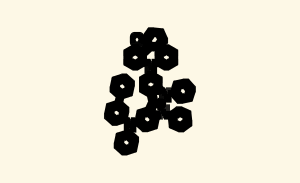 c1ccc(-c2cccc(N(c3ccccc3)c3ccc4c(c3)c3c5ccc(N(c6ccccc6)c6cccc7oc8ccccc8c67)cc5n(-c5ccccc5)c3n4-c3ccccc3)c2)cc1